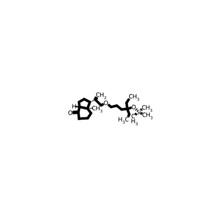 C=C(COCCCC(CC)(CC)O[Si](C)(C)C)[C@H]1CC[C@H]2C(=O)CCC[C@]12C